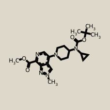 COC(=O)c1ncc(N2CCC(N(C(=O)OC(C)(C)C)C3CC3)CC2)c2cn(C)nc12